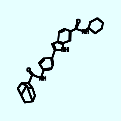 O=C(NC1CCCCC1)c1ccc2cc(-c3ccc(NC(=O)C4C5CC6CC(C5)CC4C6)cc3)[nH]c2c1